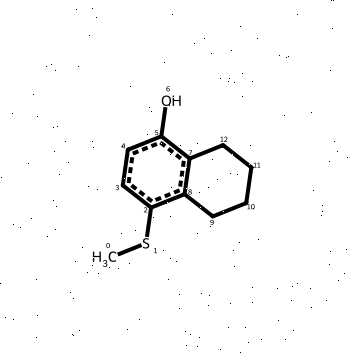 CSc1ccc(O)c2c1CCCC2